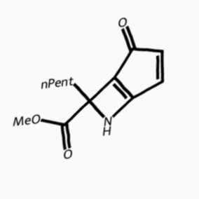 CCCCCC1(C(=O)OC)NC2=C1C(=O)C=C2